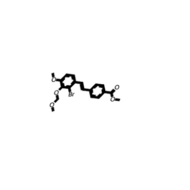 COCOc1c(OC)ccc(C=Cc2ccc(C(=O)OC)cc2)c1Br